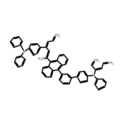 C=C/C=C(\C=C(/C)c1c2ccccc2c(-c2cccc(-c3ccc(N(/C(C=C)=C/C=C)c4ccccc4)cc3)c2)c2ccccc12)c1ccc(N(c2ccccc2)c2ccccc2)cc1